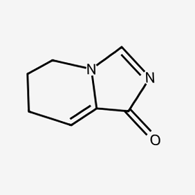 O=C1N=CN2CCCC=C12